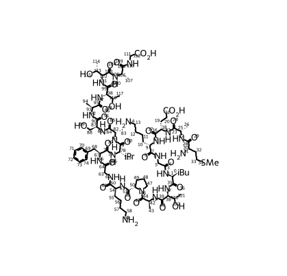 CC[C@H](C)[C@H](NC(=O)CNC(=O)[C@H](CCCCN)NC(=O)[C@H](CCC(=O)O)NC(=O)[C@H](C)NC(=O)[C@@H](N)CCSC)C(=O)N[C@H](C(=O)N[C@@H](C)C(=O)N1CCC[C@H]1C(=O)N[C@@H](CCCCN)C(=O)NCC(=O)N[C@@H](Cc1ccccc1)C(=O)N[C@H](C(=O)N[C@@H](C)C(=O)N[C@@H](CO)C(=O)N[C@@H](C)C(=O)N[C@H](C(=O)N[C@H](C(=O)N[C@@H](C)C(=O)NCC(=O)O)[C@@H](C)O)[C@@H](C)O)C(C)C)[C@@H](C)O